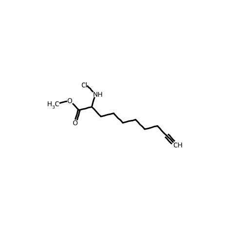 C#CCCCCCCC(NCl)C(=O)OC